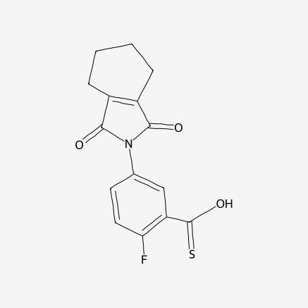 O=C1C2=C(CCCC2)C(=O)N1c1ccc(F)c(C(O)=S)c1